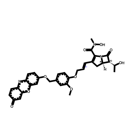 COc1cc(COc2ccc3nc4ccc(=O)cc-4oc3c2)ccc1OC/C=C/C1=C(C(=O)N(C)O)N2C(=O)[C@H](C(C)O)[C@H]2C1